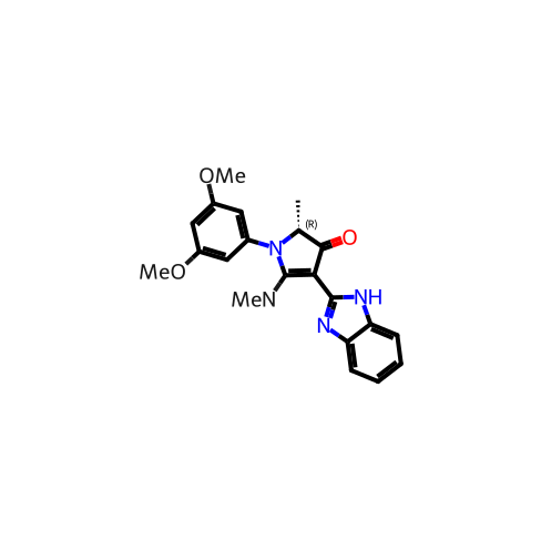 CNC1=C(c2nc3ccccc3[nH]2)C(=O)[C@@H](C)N1c1cc(OC)cc(OC)c1